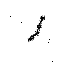 FS(F)(F)(F)(F)c1ccc(/C=C/c2nc(COc3ccc(CCCCn4ccnn4)cc3)co2)cc1